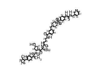 Cc1ncsc1-c1ccc([C@H](C)NC(=O)[C@@H]2C[C@@H](O)CN2C(=O)C(NC(=O)CCCNC(=O)c2cccc(CN3CCN(S(=O)(=O)c4ccc(NC(=S)NCc5cccnc5)cc4)CC3)c2)C(C)(C)C)cc1